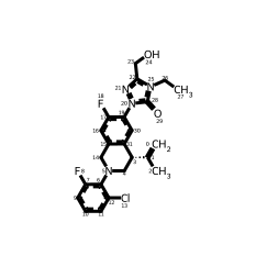 C=C(C)[C@@H]1CN(c2c(F)cccc2Cl)Cc2cc(F)c(-n3nc(CO)n(CC)c3=O)cc21